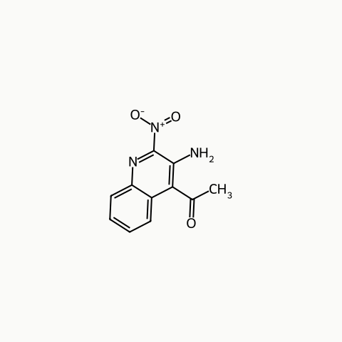 CC(=O)c1c(N)c([N+](=O)[O-])nc2ccccc12